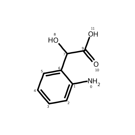 Nc1ccccc1C(O)C(=O)O